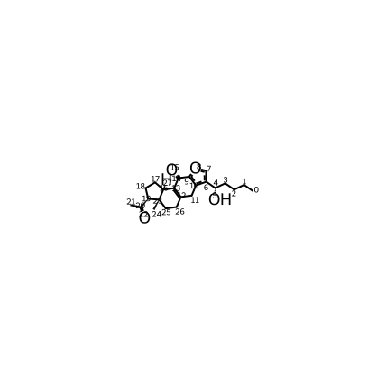 CCCC[C@H](O)c1coc2c1CC1=C(C2=O)[C@@H]2CC[C@H](C(C)=O)[C@@]2(C)CC1